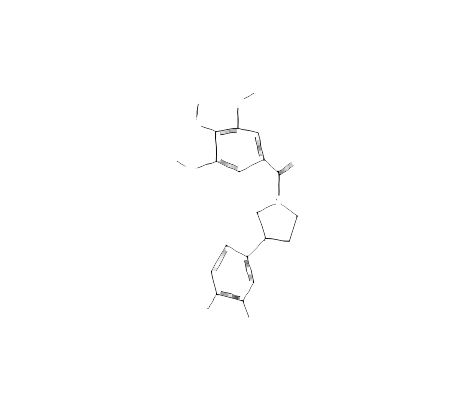 COc1cc(C(=O)N2CC[C](c3ccc(Cl)c(Cl)c3)C2)cc(OC)c1OC